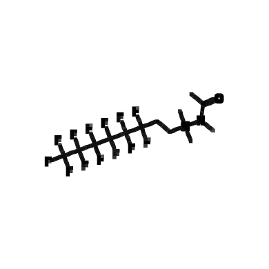 CC(=O)N(C)[Si](C)(C)CCC(F)(F)C(F)(F)C(F)(F)C(F)(F)C(F)(F)C(F)(F)F